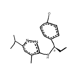 CC[C@@H](Nc1nnc(C(C)C)cc1C)c1ccc(Cl)cc1